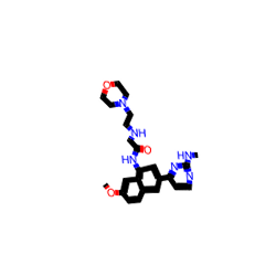 CNc1nccc(-c2cc(NC(=O)CNCCN3CCOCC3)c3cc(OC)ccc3c2)n1